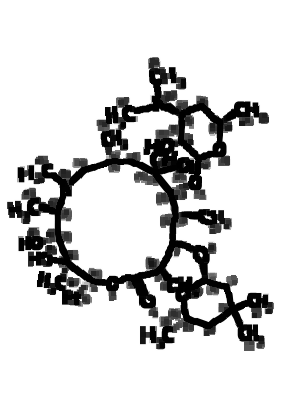 CC[C@H]1OC(=O)[C@H](C)C(O[C@H]2CC(C)(C)C[C@H](C)O2)[C@H](C)[C@@H](OC2O[C@H](C)C[C@H](N(C)C)[C@H]2O)[C@](C)(O)C[C@@H](C)CN(C)[C@H](C)[C@@H](O)[C@]1(C)O